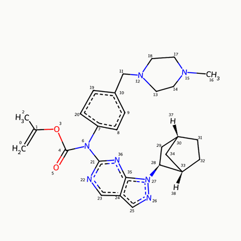 C=C(C)OC(=O)N(c1ccc(CN2CCN(C)CC2)cc1)c1ncc2cnn([C@H]3C[C@@H]4CC[C@H]3C4)c2n1